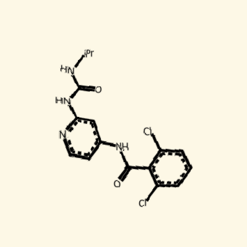 CC(C)NC(=O)Nc1cc(NC(=O)c2c(Cl)cccc2Cl)ccn1